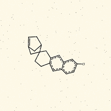 Clc1ccc2cc3c(cc2c1)CC1(CC3)CC2=CCC1C2